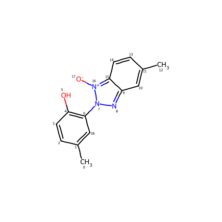 Cc1ccc(O)c(-n2nc3cc(C)ccc3[n+]2[O-])c1